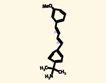 COc1cccc(/C=C/C=C/c2ccc(C(C)(C)N)cc2)c1